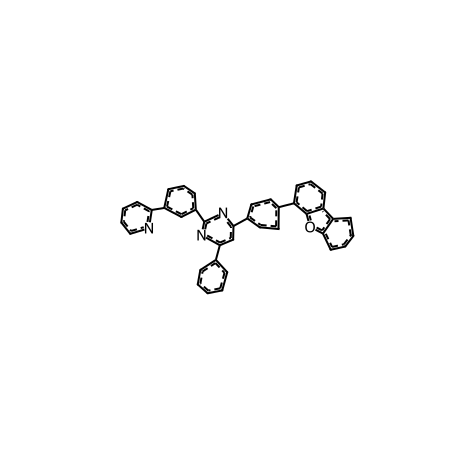 c1ccc(-c2cc(-c3ccc(-c4cccc5c4oc4ccccc45)cc3)nc(-c3cccc(-c4ccccn4)c3)n2)cc1